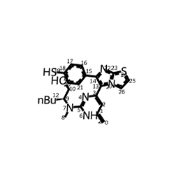 C=C/C=C(\N=C(/N)N(C)[C@H](CO)CCCC)c1c(-c2ccc(S)cc2)nc2sccn12